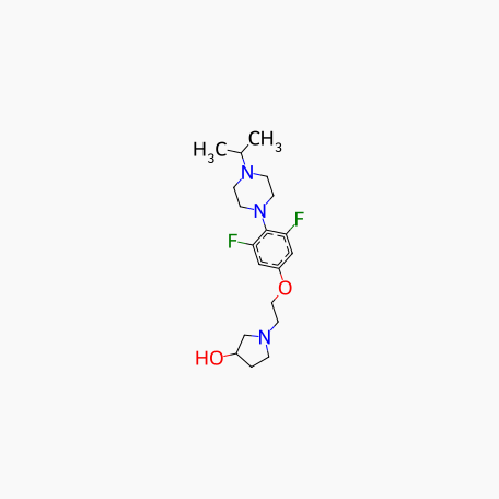 CC(C)N1CCN(c2c(F)cc(OCCN3CCC(O)C3)cc2F)CC1